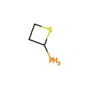 PC1CCS1